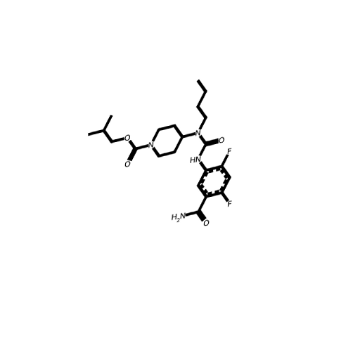 CCCCN(C(=O)Nc1cc(C(N)=O)c(F)cc1F)C1CCN(C(=O)OCC(C)C)CC1